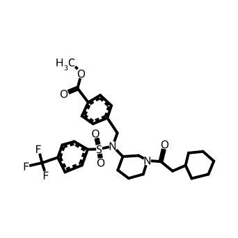 COC(=O)c1ccc(CN(C2CCCN(C(=O)CC3CCCCC3)C2)S(=O)(=O)c2ccc(C(F)(F)F)cc2)cc1